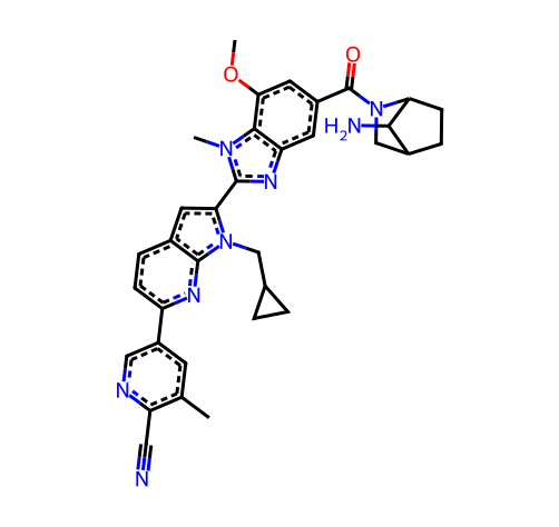 COc1cc(C(=O)N2CC3CCC2C3N)cc2nc(-c3cc4ccc(-c5cnc(C#N)c(C)c5)nc4n3CC3CC3)n(C)c12